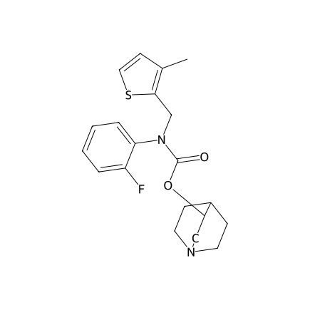 Cc1ccsc1CN(C(=O)OC1CN2CCC1CC2)c1ccccc1F